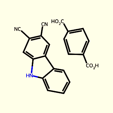 N#Cc1cc2[nH]c3ccccc3c2cc1C#N.O=C(O)c1ccc(C(=O)O)cc1